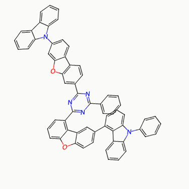 c1ccc(-c2nc(-c3ccc4c(c3)oc3cc(-n5c6ccccc6c6ccccc65)ccc34)nc(-c3cccc4oc5ccc(-c6cccc7c6c6ccccc6n7-c6ccccc6)cc5c34)n2)cc1